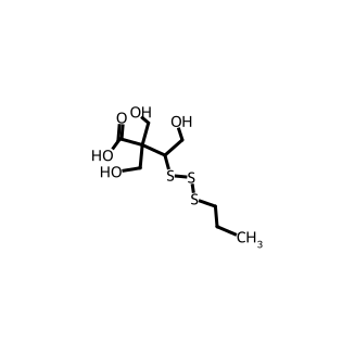 CCCSSSC(CO)C(CO)(CO)C(=O)O